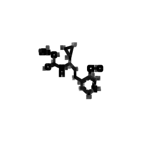 CC(C)(C)OC(=O)NC(CCc1ccncc1C=O)C1CC1